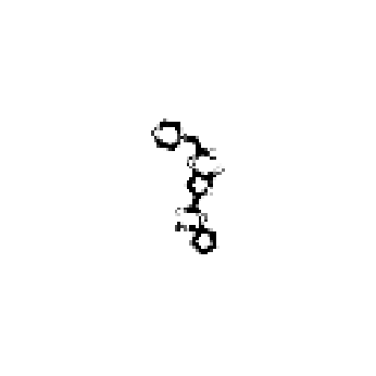 CC(C)C1(OC(=O)C2CC(OC(=O)CN3CCOCC3)C(=O)O2)CCCC1